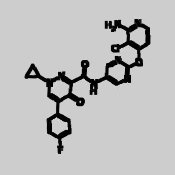 Nc1nccc(Oc2ncc(NC(=O)c3nn(C4CC4)cc(-c4ccc(F)cc4)c3=O)cn2)c1Cl